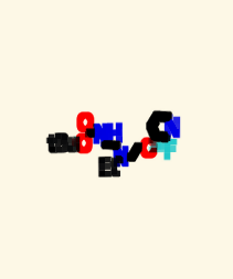 CCN(CCNC(=O)OC(C)(C)C)CCOc1cccnc1[18F]